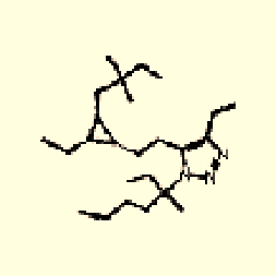 CCCCC(C)(CC)n1nnc(CC)c1CC[C@H]1[C@@H](CC)[C@H]1CC(C)(C)CC